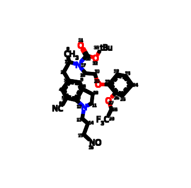 CC(Cc1cc(C#N)c2c(c1)CCN2CCCN=O)N(CCOc1ccccc1OCC(F)(F)F)C(=O)OC(C)(C)C